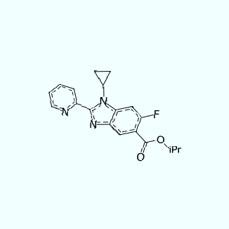 CC(C)OC(=O)c1cc2nc(-c3ccccn3)n(C3CC3)c2cc1F